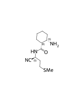 CSCC[C@@H](C#N)NC(=O)[C@@H]1CCCC[C@@H]1N